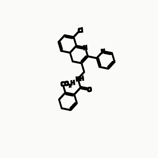 O=C(O)C1=C(C(=O)NCC2=C(c3ccccn3)N=C3C(Cl)=CC=CC3C2)C=CCC1